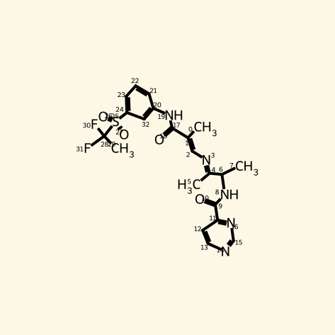 C/C(=C\N=C(/C)C(C)NC(=O)c1ccncn1)C(=O)Nc1cccc(S(=O)(=O)C(C)(F)F)c1